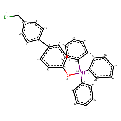 BrCc1ccc(-c2ccc(O[PH](c3ccccc3)(c3ccccc3)c3ccccc3)cc2)cc1